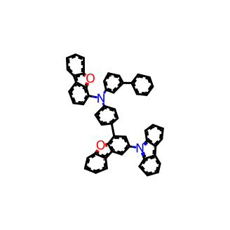 c1ccc(-c2cccc(N(c3ccc(-c4cc(-n5c6ccccc6c6ccccc65)cc5c4oc4ccccc45)cc3)c3cccc4c3oc3ccccc34)c2)cc1